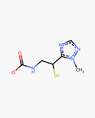 Cn1ncnc1C(S)CNC([O])=O